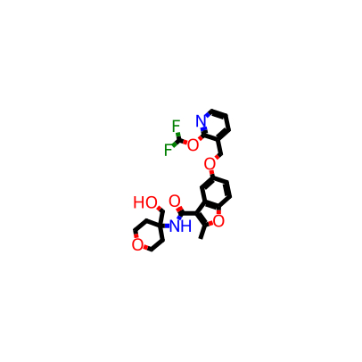 Cc1oc2ccc(OCc3cccnc3OC(F)F)cc2c1C(=O)NC1(CO)CCOCC1